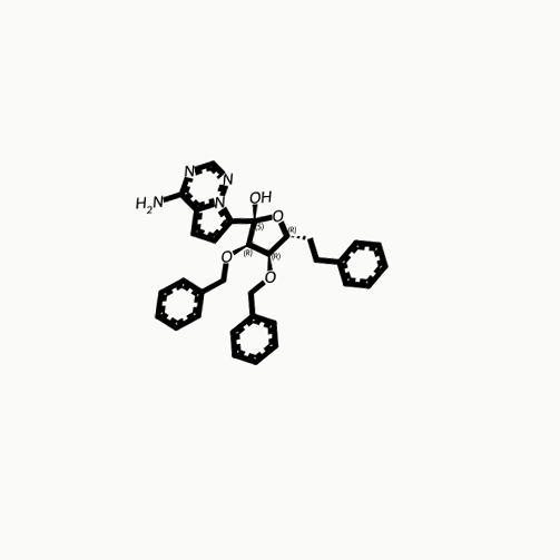 Nc1ncnn2c([C@]3(O)O[C@H](CCc4ccccc4)[C@@H](OCc4ccccc4)[C@H]3OCc3ccccc3)ccc12